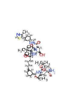 Cc1ncsc1-c1ccc(CNC(=O)[C@@H]2C[C@@H](O)CN2C(=O)[C@@H](NC(=O)CCCCc2cccc(CO[C@H](C)[C@H](CCC(N)=O)NC(=O)OC(C)(C)C)c2)C(C)(C)C)cc1